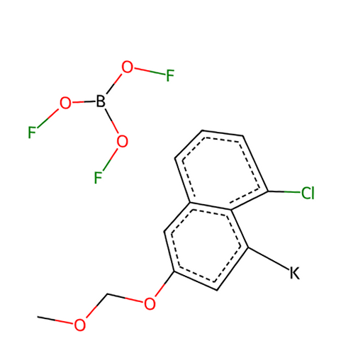 COCOc1c[c]([K])c2c(Cl)cccc2c1.FOB(OF)OF